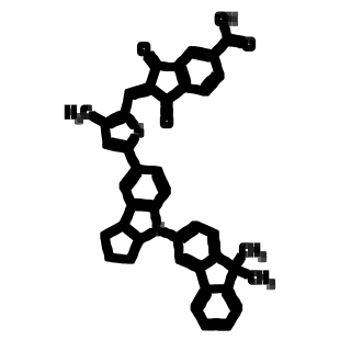 Cc1cc(-c2ccc3c(c2)C2CCCC2N3c2ccc3c(c2)-c2ccccc2C3(C)C)sc1/C=C1\C(=O)c2ccc(C(=O)O)cc2C1=O